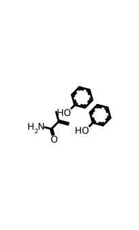 C=C(C)C(N)=O.Oc1ccccc1.Oc1ccccc1